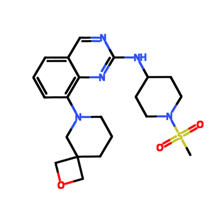 CS(=O)(=O)N1CCC(Nc2ncc3cccc(N4CCCC5(COC5)C4)c3n2)CC1